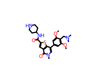 COc1cc(-c2cn(C)c(=O)c3cc(C(=O)NC4CCNCC4)sc23)cc(OC)c1CN(C)C